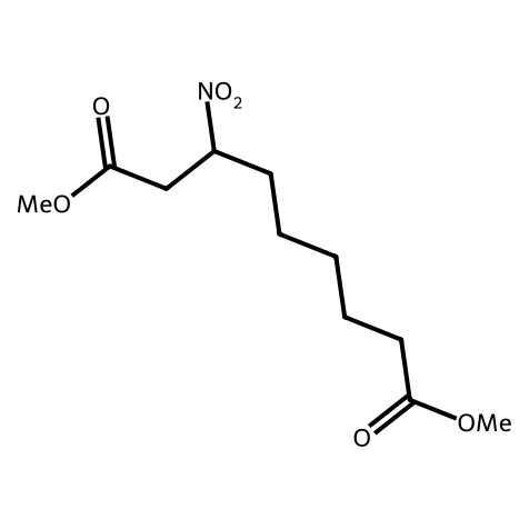 COC(=O)CCCCCC(CC(=O)OC)[N+](=O)[O-]